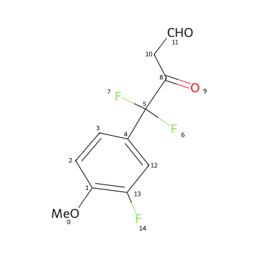 COc1ccc(C(F)(F)C(=O)CC=O)cc1F